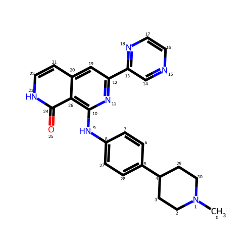 CN1CCC(c2ccc(Nc3nc(-c4cnccn4)cc4cc[nH]c(=O)c34)cc2)CC1